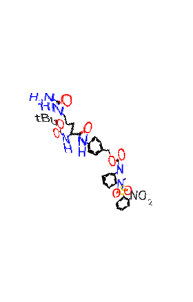 CN(C(=O)OCc1ccc(NC(=O)C(CCCNC(N)=O)NC(=O)OC(C)(C)C)cc1)c1ccccc1N(C)S(=O)(=O)c1ccccc1[N+](=O)[O-]